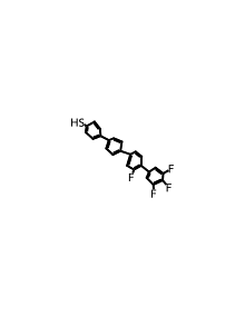 Fc1cc(-c2ccc(-c3ccc(S)cc3)cc2)ccc1-c1cc(F)c(F)c(F)c1